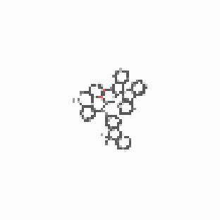 CCc1ccccc1-c1c(CC)cccc1N(c1ccc2c(c1)C(C)(C)c1ccccc1-2)c1ccc2c(c1)C1(c3ccccc3-c3ccccc31)c1ccccc1-2